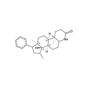 CC1CC(c2ccccc2)[C@@]2(C)CC[C@@H]3[C@@H](CCC4NC(=O)CC[C@@]43C)[C@H]12